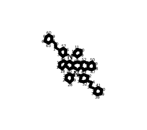 C(=Cc1ccc(N(c2ccccc2)c2c3ccccc3cc3c(N(c4ccccc4)c4ccc(C=Cc5ccccc5)cc4)c4cc5ccccc5cc4cc23)cc1)c1ccccc1